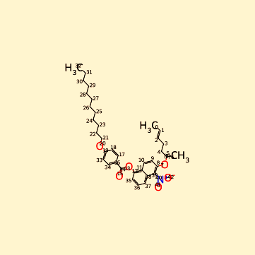 CC=CCC[C@@H](C)Oc1ccc2c(OC(=O)c3ccc(OCCCCCCCCCCCC)cc3)cccc2c1[N+](=O)[O-]